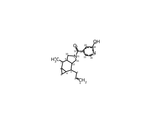 C=CCC1C2CC2C(C)C2CN(C(=O)c3ccnc(O)c3)CC21